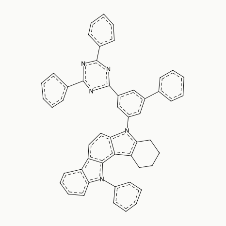 c1ccc(-c2cc(-c3nc(-c4ccccc4)nc(-c4ccccc4)n3)cc(-n3c4c(c5c3ccc3c6ccccc6n(-c6ccccc6)c35)CCCC4)c2)cc1